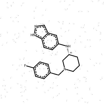 Fc1ccc(CN2CCC[C@@H](Nc3ccc4[nH]ncc4c3)C2)cc1